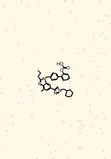 CCCc1nc2c(C)cc(-c3cn(CC4CCCCC4)cn3)cc2n1Cc1ccc(-c2ccccc2OC(=O)O)cc1